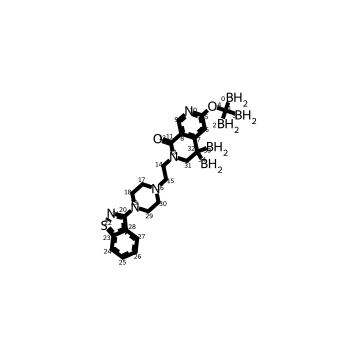 BC(B)(B)Oc1cc2c(cn1)C(=O)N(CCN1CCN(c3nsc4ccccc34)CC1)CC2(B)B